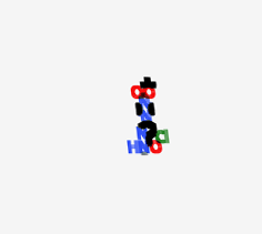 CNC(=O)c1ncc(N2CCN(C(=O)OC(C)(C)C)CC2)cc1Cl